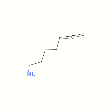 C=C=CCCCCN